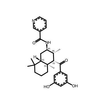 C[C@H]1[C@H](NC(=O)c2cccnc2)C[C@H]2C(C)(C)CCC[C@]2(C)[C@H]1C(=O)c1cc(O)cc(O)c1